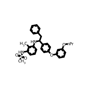 CCCOc1cccc(Oc2ccc(C(Cc3ccccc3)Nc3cccc(NS(C)(=O)=O)c3C)cc2)c1